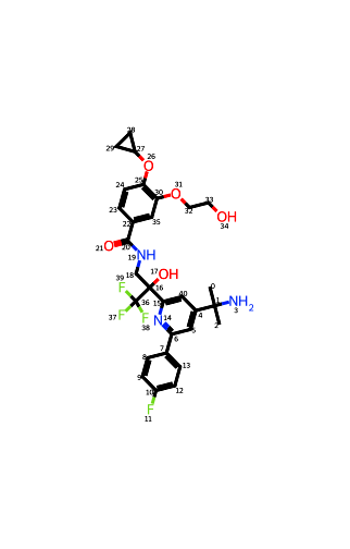 CC(C)(N)c1cc(-c2ccc(F)cc2)nc(C(O)(CNC(=O)c2ccc(OC3CC3)c(OCCO)c2)C(F)(F)F)c1